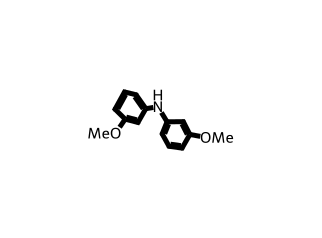 COc1cccc(Nc2cccc(OC)c2)c1